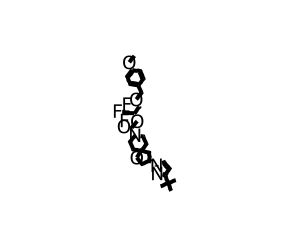 COc1ccc(COCC(OC(=O)N2CCC3(CC2)CC(n2ccc(C(C)(C)C)n2)CO3)C(F)(F)F)cc1